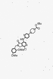 COc1ccc(CN2Cc3c(Cl)ncc(Nc4ccc(N5CCN(C(=O)OC(C)(C)C)CC5)cn4)c3C2=O)c(OC)c1